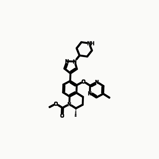 COC(=O)N1c2ccc(-c3cnn(C4CCNCC4)c3)c(Oc3ncc(C)cn3)c2CC[C@@H]1C